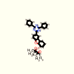 CC1(C)OB(c2cccc3c2oc2ccc(-c4nc(-c5ccccc5)nc(-c5ccccc5)n4)cc23)OC1(C)C